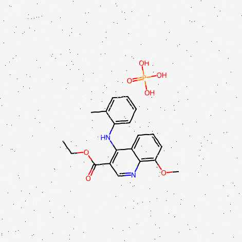 CCOC(=O)c1cnc2c(OC)cccc2c1Nc1ccccc1C.O=P(O)(O)O